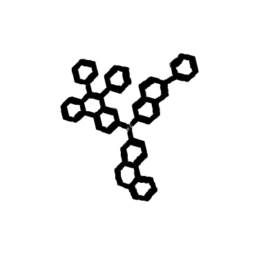 c1ccc(-c2ccc3cc(N(c4ccc5c(ccc6ccccc65)c4)c4ccc5c(c4)c(-c4ccccc4)c(-c4ccccc4)c4ccccc45)ccc3c2)cc1